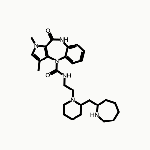 Cc1cn(C)c2c1N(C(=O)NCCN1CCCCC1CC1CCCCCN1)c1ccccc1NC2=O